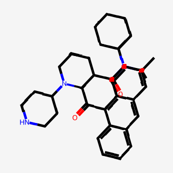 CC(C)N(C(=O)C1CCCN(C2CCNCC2)C1C(=O)c1c2ccccc2cc2ccccc12)C1CCCCC1